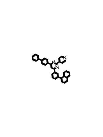 c1ccc(-c2ccc(-c3cc(-c4cccc(-c5cccc6ccccc56)c4)nc(-c4ccncc4)n3)cc2)cc1